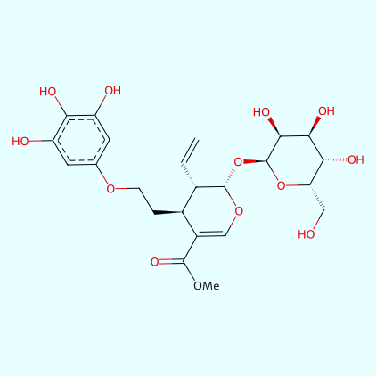 C=C[C@@H]1[C@H](O[C@@H]2O[C@@H](CO)[C@@H](O)[C@H](O)[C@@H]2O)OC=C(C(=O)OC)[C@H]1CCOc1cc(O)c(O)c(O)c1